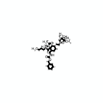 CCCCNC(=O)C1(N(C)C(C)=O)C[C@H](CCB2OC(C)(C)C(C)(C)O2)CCC1CNC(=O)OCc1ccccc1